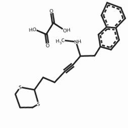 CNC(C#CCCC1SCCCS1)Cc1ccc2ccccc2c1.O=C(O)C(=O)O